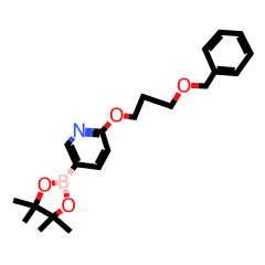 CC1(C)OB(c2ccc(OCCCOCc3ccccc3)nc2)OC1(C)C